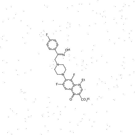 CCn1cc(C(=O)O)c(=O)c2cc(F)c(N3CCN(CC(=NO)c4ccc(F)cc4)CC3)c(F)c21